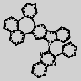 c1ccc(-c2nc3ccccc3nc2-n2c3ccccc3c3cc4c(cc32)-c2cccc3cccc(c23)-c2ccncc2-4)cc1